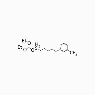 CCOC(OCC)O[SiH2]CCCCCc1cccc(C(F)(F)F)c1